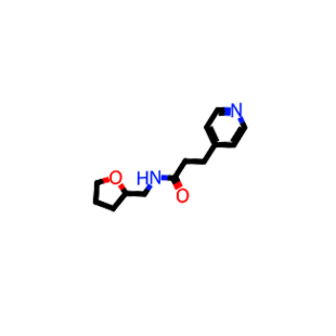 O=C(CCc1ccncc1)NCC1CCCO1